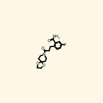 NC(=O)c1cc(F)ccc1C[CH]C(=O)N1CCC2(CC1)OCCO2